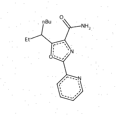 CCCCC(CC)c1oc(-c2ccccn2)nc1C(N)=O